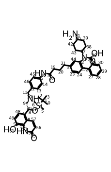 CC(C)(C)[Si](C)(C)O[C@@H](CNCc1ccc(NC(=O)CCCc2ccc(-c3ccccc3)c(N(C(=O)O)C3CCC(N)CC3)c2)cc1)c1ccc(O)c2[nH]c(=O)ccc12